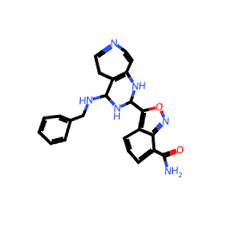 NC(=O)c1cccc2c(C3NC4=C(CC=NC=C4)C(NCc4ccccc4)N3)onc12